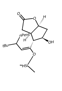 CCCCCC(/C=C(/O[SiH](C)C)[C@@H]1[C@H]2CC(=O)O[C@H]2C[C@H]1O)C(C)(C)C